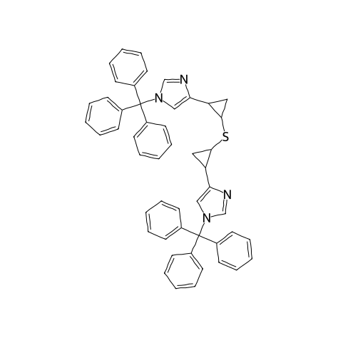 c1ccc(C(c2ccccc2)(c2ccccc2)n2cnc(C3CC3SC3CC3c3cn(C(c4ccccc4)(c4ccccc4)c4ccccc4)cn3)c2)cc1